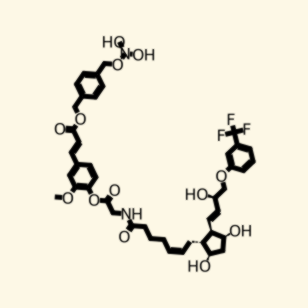 COc1cc(/C=C/C(=O)OCc2ccc(CON(O)O)cc2)ccc1OC(=O)CNC(=O)CCC/C=C\C[C@@H]1[C@@H](/C=C/[C@@H](O)COc2cccc(C(F)(F)F)c2)[C@H](O)C[C@@H]1O